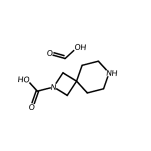 O=C(O)N1CC2(CCNCC2)C1.O=CO